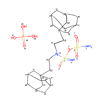 N=S(=O)(OS(N)(=O)=O)N(CCC12CC3CC(CC(C3)C1)C2)CCC12CC3CC(CC(C3)C1)C2.O=P(O)(O)O